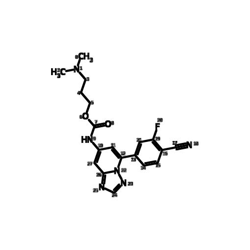 CN(C)CCCOC(=O)Nc1cc(-c2ccc(C#N)c(F)c2)n2ncnc2c1